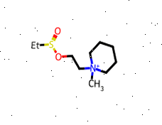 CCS(=O)OCC[N+]1(C)CCCCC1